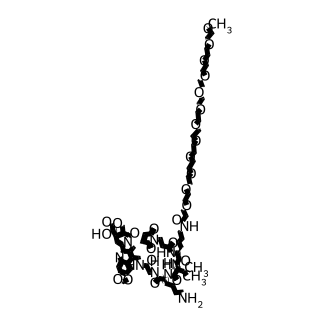 COCCOCCOCCOCCOCCOCCOCCOCCOCCOCCOCCOCCC(=O)NCCCC[C@H](NC(=O)CCN1C(=O)C=CC1=O)C(=O)N[C@H](C(=O)N[C@@H](CCCCN)C(=O)NCC(=O)NCc1c2c(nc3cc4c(cc13)OCO4)-c1cc3c(c(=O)n1C2)COC(=O)[C@H]3O)C(C)C